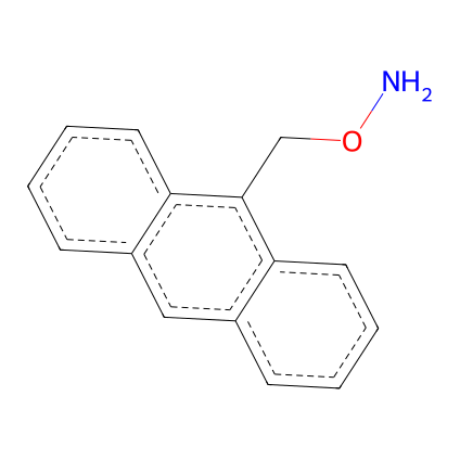 NOCc1c2ccccc2cc2ccccc12